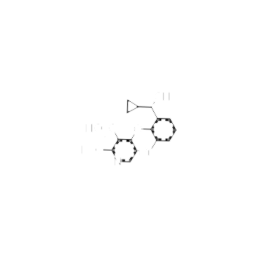 Cc1nccc(Oc2c(C(C)C)cccc2[C@H](C)C2CC2)c1C(=O)O